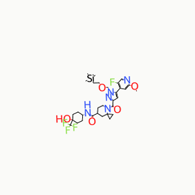 COc1cc(-c2cc(C(=O)N3CCC(C(=O)N[C@H]4CC[C@@](O)(C(F)(F)F)CC4)CC34CC4)nn2COCC[Si](C)(C)C)c(F)cn1